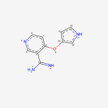 N=C(N)c1cnccc1Oc1cc[nH]c1